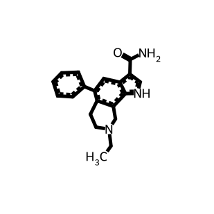 CCN1CCc2c(-c3ccccc3)cc3c(C(N)=O)c[nH]c3c2C1